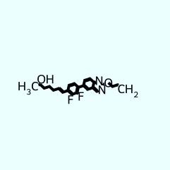 C=CCOc1ncc2cc(-c3ccc(C=CCCCC(C)O)c(F)c3F)ccc2n1